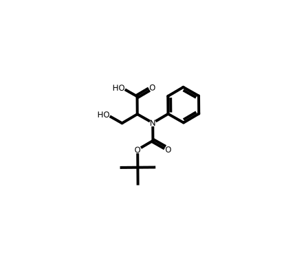 CC(C)(C)OC(=O)N(c1ccccc1)C(CO)C(=O)O